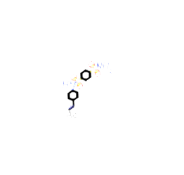 CC(=O)/C=C/c1ccc(NS(=O)(=O)c2ccc(S(N)(=O)=O)cc2)cc1